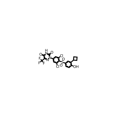 O=c1[nH]c(=O)n(-c2cc(Cl)c(S(=O)(=O)c3ccc(O)c(C4CCC4)c3)c(Cl)c2)nc1C(F)(F)F